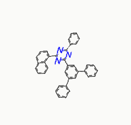 c1ccc(-c2cc(-c3ccccc3)cc(-c3nc(-c4ccccc4)nc(-c4cccc5ccccc45)n3)c2)cc1